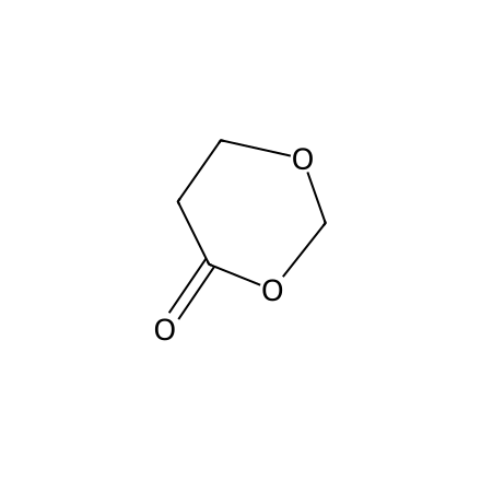 O=C1CCOCO1